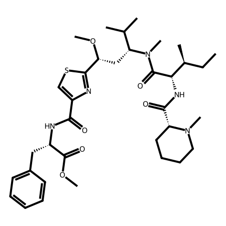 CC[C@H](C)[C@H](NC(=O)[C@H]1CCCCN1C)C(=O)N(C)[C@H](C[C@@H](OC)c1nc(C(=O)N[C@@H](Cc2ccccc2)C(=O)OC)cs1)C(C)C